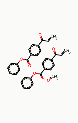 C=CC(=O)c1ccc(C(=O)Oc2ccccc2)cc1.C=CC(=O)c1ccc(C(=O)Oc2ccccc2)cc1.C=O